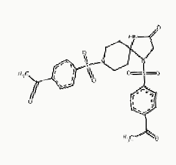 CC(=O)c1ccc(S(=O)(=O)N2CCC3(CC2)NC(=O)CN3S(=O)(=O)c2ccc(C(C)=O)cc2)cc1